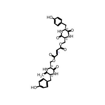 C=C1N[C@@H](COC(=O)/C=C/C(=O)OC[C@@H]2NC(=O)[C@H](Cc3ccc(O)cc3)NC2=O)C(=O)N[C@H]1Cc1ccc(O)cc1